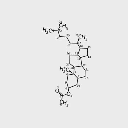 CC(=O)O[C@H]1CC[C@@]2(C)C(CCC3C4CCC([C@H](C)CCCC(C)C)C4CCC32)C1